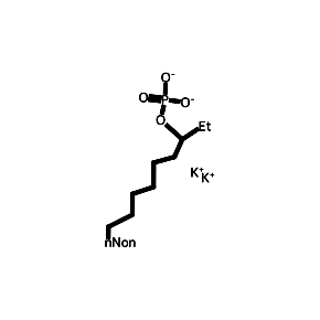 CCCCCCCCCCCCCCCC(CC)OP(=O)([O-])[O-].[K+].[K+]